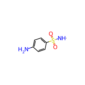 [NH]S(=O)(=O)c1ccc(N)cc1